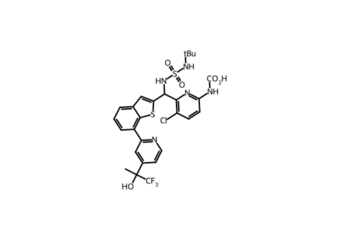 CC(C)(C)NS(=O)(=O)NC(c1cc2cccc(-c3cc(C(C)(O)C(F)(F)F)ccn3)c2s1)c1nc(NC(=O)O)ccc1Cl